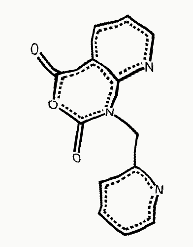 O=c1oc(=O)n(Cc2ccccn2)c2ncccc12